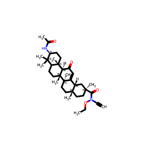 C#CN(OCC)C(=O)[C@@]1(C)CC[C@]2(C)CC[C@]3(C)C(=CC(=O)[C@@H]4[C@@]5(C)CC[C@H](NC(C)=O)C(C)(C)C5CC[C@]43C)[C@@H]2C1